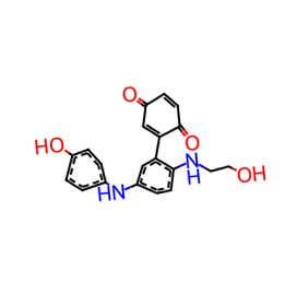 O=C1C=CC(=O)C(c2cc(Nc3ccc(O)cc3)ccc2NCCO)=C1